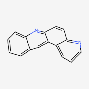 c1ccc2nc3ccc4ncccc4c3cc2c1